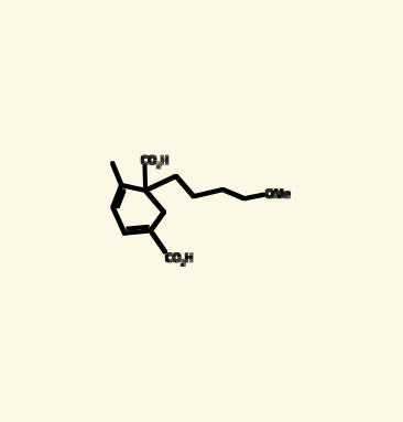 COCCCCC1(C(=O)O)CC(C(=O)O)=CC=C1C